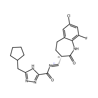 O=C(/N=C/[C@@H]1CCc2cc(Cl)cc(F)c2NC1=O)c1nnc(CC2CCCC2)[nH]1